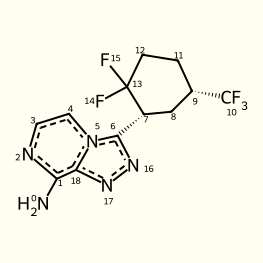 Nc1nccn2c([C@H]3C[C@@H](C(F)(F)F)CCC3(F)F)nnc12